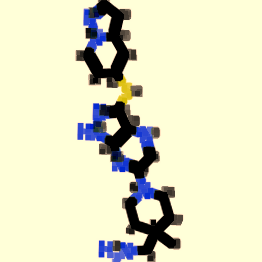 CC1(CN)CCN(c2cnc3c(Sc4ccn5nccc5c4)n[nH]c3n2)CC1